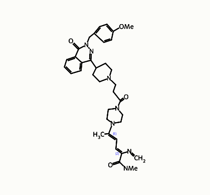 C=N/C(=C\C=C(/C)N1CCN(C(=O)CCN2CCC(c3nn(Cc4ccc(OC)cc4)c(=O)c4ccccc34)CC2)CC1)C(=O)NC